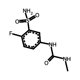 CNC(=O)Nc1ccc(F)c(S(N)(=O)=O)c1